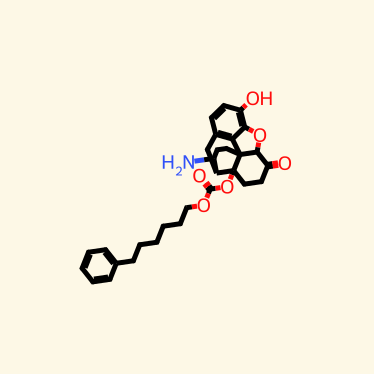 NC1CCC23c4c5ccc(O)c4OC2C(=O)CCC3(OC(=O)OCCCCCCc2ccccc2)C1C5